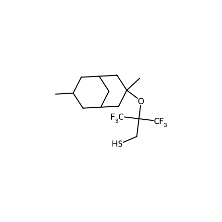 CC1CC2CC(C1)CC(C)(OC(CS)(C(F)(F)F)C(F)(F)F)C2